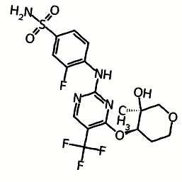 C[C@]1(O)COCC[C@H]1Oc1nc(Nc2ccc(S(N)(=O)=O)cc2F)ncc1C(F)(F)F